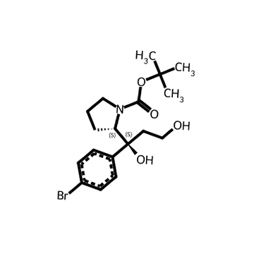 CC(C)(C)OC(=O)N1CCC[C@H]1[C@](O)(CCO)c1ccc(Br)cc1